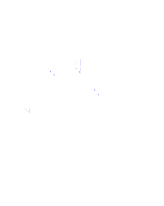 ClCc1csc(Nc2ncc(Br)cc2Oc2ccccc2)n1